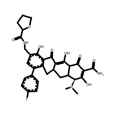 CN(C)[C@@H]1C(O)=C(C(N)=O)C(=O)C2C(O)=C3C(=O)c4c(O)c(CNC(=O)C5CCCO5)cc(-c5ccc(F)cc5)c4CC3CC21